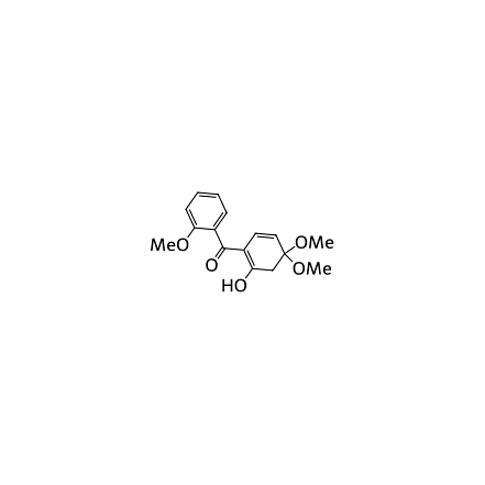 COc1ccccc1C(=O)C1=C(O)CC(OC)(OC)C=C1